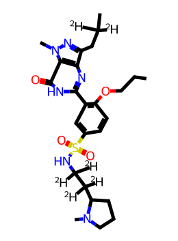 [2H]C([2H])(C)Cc1nn(C)c2c(=O)[nH]c(-c3cc(S(=O)(=O)NC([2H])([2H])C([2H])([2H])C4CCCN4C)ccc3OCCC)nc12